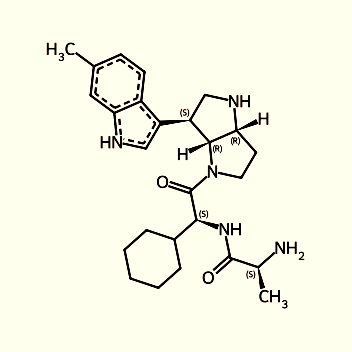 Cc1ccc2c([C@H]3CN[C@@H]4CCN(C(=O)[C@@H](NC(=O)[C@H](C)N)C5CCCCC5)[C@H]34)c[nH]c2c1